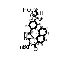 CCCCN(C(=O)c1ccc2ccccc2c1)c1nnc(-c2ccc(S(=O)(=O)NC(=O)O)cc2)s1